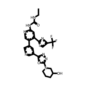 CCNC(=O)Nc1cc(-c2nc(C(F)(F)F)cs2)c(-c2cncc(-c3nnc(N4CCCC(O)C4)o3)c2)cn1